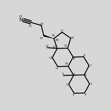 CC12CCCCC1CCC1C2CCC2(C)C1CC[C@@H]2CCC#N